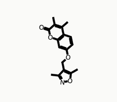 Cc1noc(C)c1COc1ccc2c(C)c(C)c(=O)oc2c1